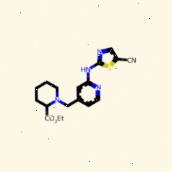 CCOC(=O)C1CCCCN1Cc1ccnc(Nc2ncc(C#N)s2)c1